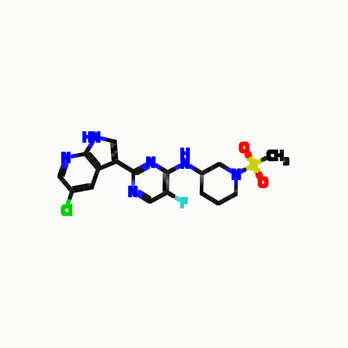 CS(=O)(=O)N1CCCC(Nc2nc(-c3c[nH]c4ncc(Cl)cc34)ncc2F)C1